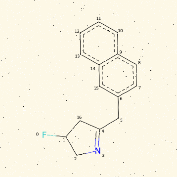 FC1CN=C(Cc2ccc3ccccc3c2)C1